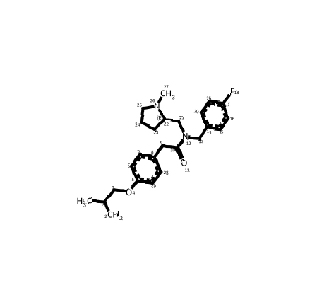 CC(C)COc1ccc(CC(=O)N(Cc2ccc(F)cc2)C[C@H]2CCCN2C)cc1